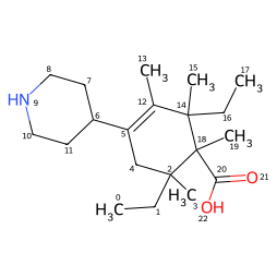 CCC1(C)CC(C2CCNCC2)=C(C)C(C)(CC)C1(C)C(=O)O